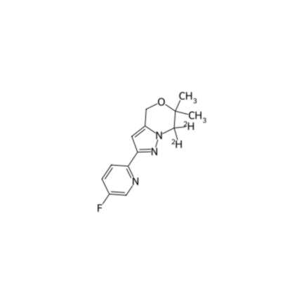 [2H]C1([2H])n2nc(-c3ccc(F)cn3)cc2COC1(C)C